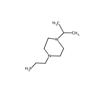 CC(C)N1CCN(CCP)CC1